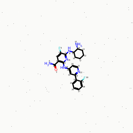 NC(=O)c1cc(F)c(NC2CCCC[C@@H]2N)nc1Nc1ccnc(-c2ccccc2F)c1